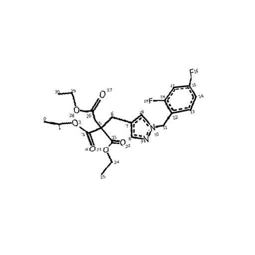 CCOC(=O)C(Cc1cnn(Cc2ccc(F)cc2F)c1)(C(=O)OCC)C(=O)OCC